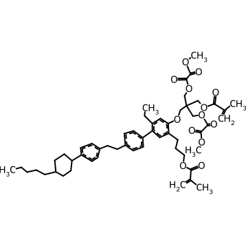 C=C(C)C(=O)OCCCc1cc(-c2ccc(CCc3ccc(C4CCC(CCCCC)CC4)cc3)cc2)c(CC)cc1OCC(COC(=O)C(=C)C)(COC(=O)C(=O)OC)COC(=O)C(=O)OC